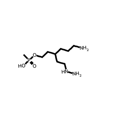 CP(=O)(O)OCCC(CCCN)CCNN